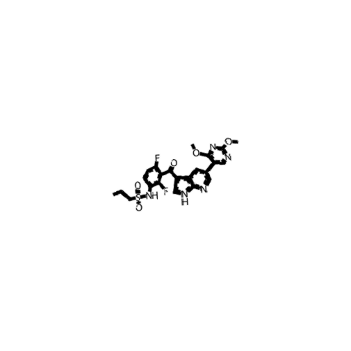 CCCS(=O)(=O)Nc1ccc(F)c(C(=O)c2c[nH]c3ncc(-c4cnc(OC)nc4OC)cc23)c1F